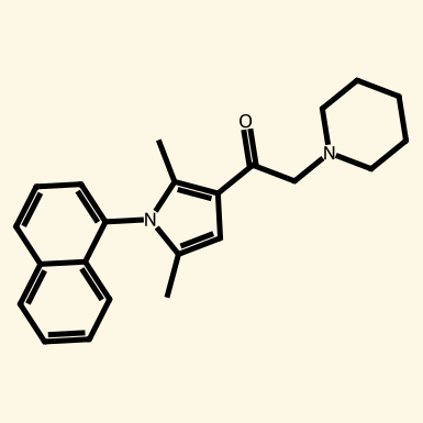 Cc1cc(C(=O)CN2CCCCC2)c(C)n1-c1cccc2ccccc12